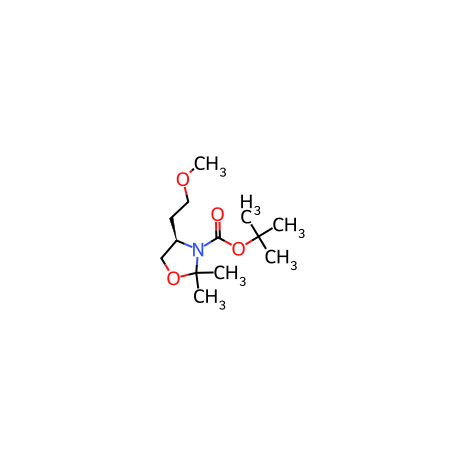 COCC[C@@H]1COC(C)(C)N1C(=O)OC(C)(C)C